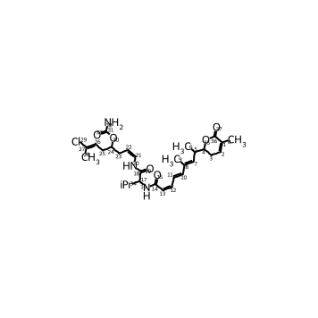 CC1=CCC(C(C)/C=C(C)/C=C/C=C\C(=O)NC(C(=O)N/C=C\CC(C/C=C(\C)Cl)OC(N)=O)C(C)C)OC1=O